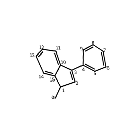 CC1C=C(c2ccccc2)c2ccccc21